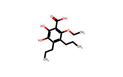 CCCc1c(O)c(O)c(C(=O)O)c(OCC)c1CCC